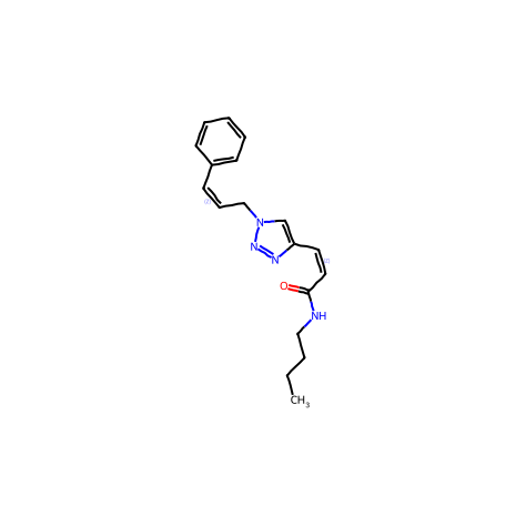 CCCCNC(=O)/C=C\c1cn(C/C=C\c2ccccc2)nn1